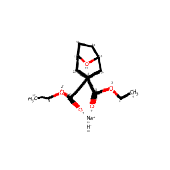 CCOC(=O)C1(C(=O)OCC)CC2CCC(C1)O2.[H-].[Na+]